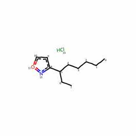 CCCCCC(CC)c1ccon1.Cl